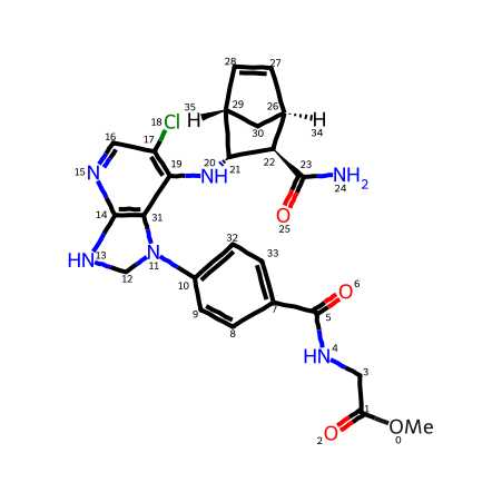 COC(=O)CNC(=O)c1ccc(N2CNc3ncc(Cl)c(N[C@H]4[C@H](C(N)=O)[C@@H]5C=C[C@@H]4C5)c32)cc1